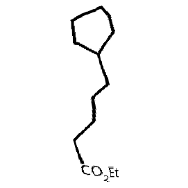 CCOC(=O)CCCCC1CCCC1